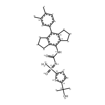 Cc1ccc(-c2c3c(c(NC(=O)N=S(N)(=O)c4ncc(C(C)(C)O)s4)c4c2CCC4)CCC3)cc1C